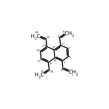 C=Cc1ccc(C=C)c2c(C=C)ccc(C=C)c12